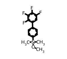 CO[Si](C)(C)c1ccc(-c2cc(F)c(F)c(F)c2F)cc1